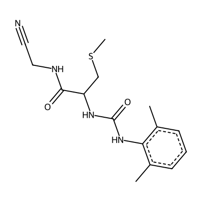 CSCC(NC(=O)Nc1c(C)cccc1C)C(=O)NCC#N